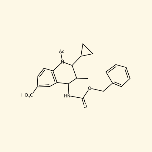 CC(=O)N1c2ccc(C(=O)O)cc2C(NC(=O)OCc2ccccc2)C(C)C1C1CC1